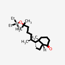 CC[Si](CC)(CC)OC(C)(C)CCC[C@H](C)[C@H]1CC[C@H]2C(=O)CCC[C@]12C